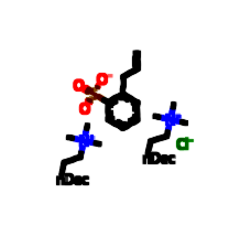 C=CCc1ccccc1S(=O)(=O)[O-].CCCCCCCCCCCC[N+](C)(C)C.CCCCCCCCCCCC[N+](C)(C)C.[Cl-]